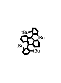 CC(C)(C)c1cccc(C(C)(C)C)c1-c1c2ccccc2c(-c2c(C(C)(C)C)cccc2C(C)(C)C)c2ccccc12